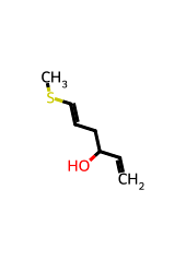 C=CC(O)C/C=C/SC